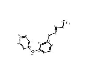 CCC=CCc1cccc(Oc2ccccc2)c1